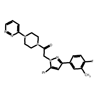 Cc1cc(-c2cc(C(C)C)n(CC(=O)N3CCN(c4cccnn4)CC3)n2)ccc1F